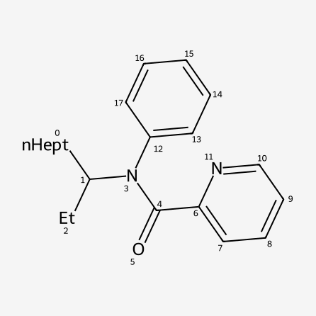 CCCCCCCC(CC)N(C(=O)c1ccccn1)c1ccccc1